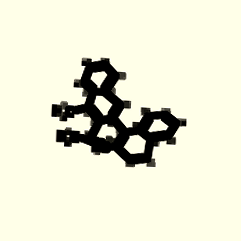 Cc1c(C(N)=O)c(-c2c(O)ccc3ccccc23)cc2ccccc12